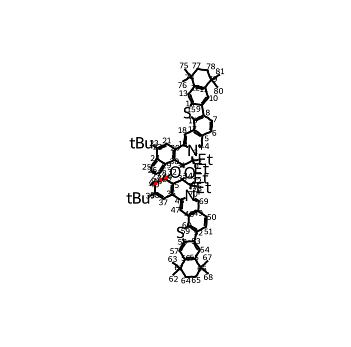 CCC1(CC)[n+]2cc3ccc4c5cc6c(cc5sc4c3cc2-c2cc(C(C)(C)C)c3ccccc3c2C12OC1(O2)c2c(cc(C(C)(C)C)c3ccccc23)-c2cc3c(ccc4c5cc7c(cc5sc34)C(C)(C)CCC7(C)C)c[n+]2C1(CC)CC)C(C)(C)CCC6(C)C